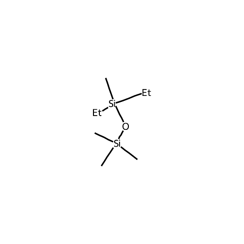 CC[Si](C)(CC)O[Si](C)(C)C